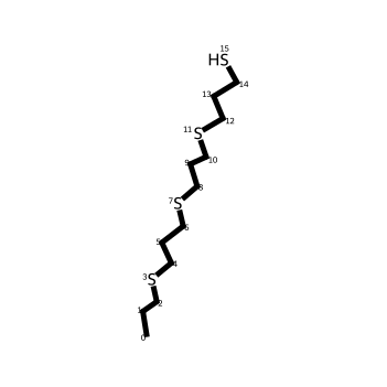 CCCSCCCSCCCSCCCS